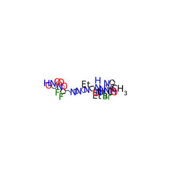 CCOc1cc(N2CCC(N3CCN(CCc4cc(F)c(F)c5c4oc(=O)n5C4CCC(=O)NC4=O)CC3)CC2)c(CC)cc1Nc1ncc(Br)c(Nc2cnc3ccccc3c2P(C)(C)=O)n1